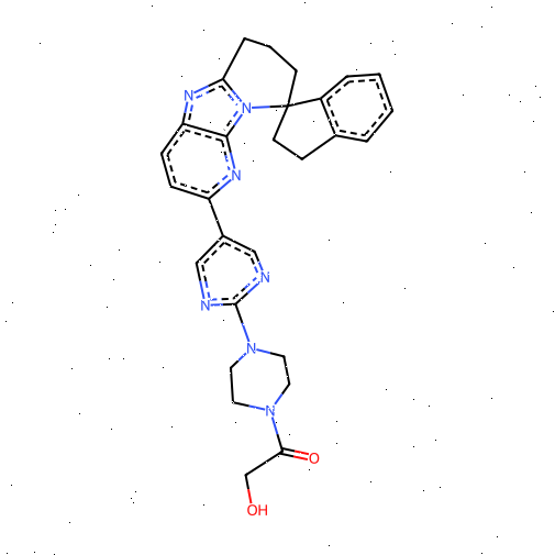 O=C(CO)N1CCN(c2ncc(-c3ccc4nc5n(c4n3)C3(CCC5)CCc4ccccc43)cn2)CC1